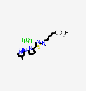 Cc1ccnc(Nc2cccc(-c3cnc(N(C)CCCC=CC(=O)O)s3)n2)c1.Cl.Cl